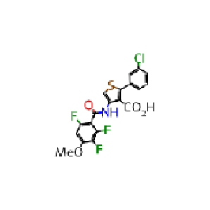 COc1cc(F)c(C(=O)Nc2csc(-c3cccc(Cl)c3)c2C(=O)O)c(F)c1F